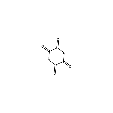 O=C1[N]C(=O)C(=O)[N]C1=O